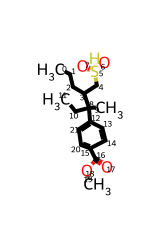 CCCC(C[SH](=O)=O)C(C)(CC)c1ccc(C(=O)OC)cc1